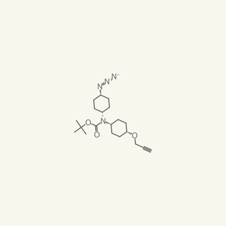 C#CCO[C@H]1CC[C@@H](N(C(=O)OC(C)(C)C)[C@H]2CC[C@H](N=[N+]=[N-])CC2)CC1